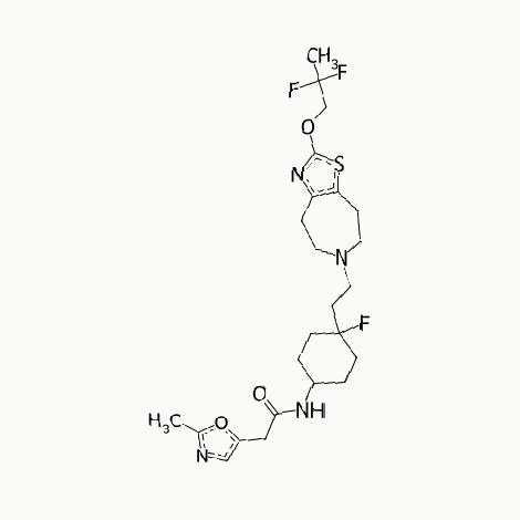 Cc1ncc(CC(=O)NC2CCC(F)(CCN3CCc4nc(OCC(C)(F)F)sc4CC3)CC2)o1